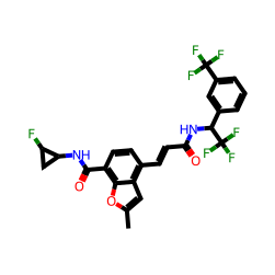 Cc1cc2c(C=CC(=O)NC(c3cccc(C(F)(F)F)c3)C(F)(F)F)ccc(C(=O)NC3CC3F)c2o1